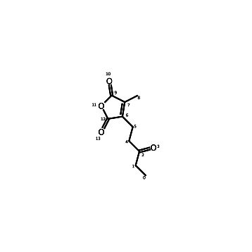 CCC(=O)CCC1=C(C)C(=O)OC1=O